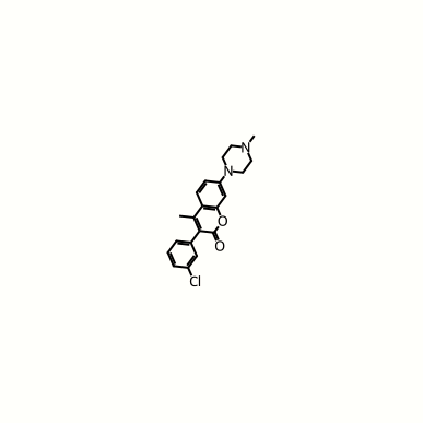 Cc1c(-c2cccc(Cl)c2)c(=O)oc2cc(N3CCN(C)CC3)ccc12